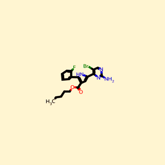 CCCCCOC(=O)c1cc(-c2nc(N)ncc2Br)[nH]c1-c1ccccc1F